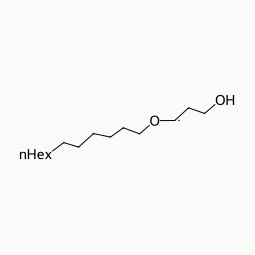 CCCCCCCCCCCCO[CH]CCO